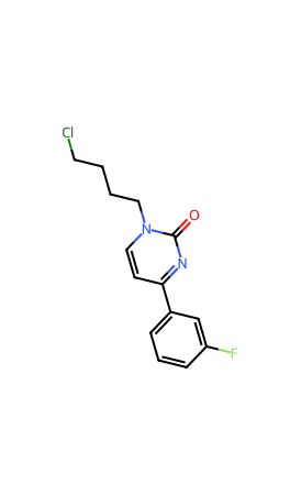 O=c1nc(-c2cccc(F)c2)ccn1CCCCCl